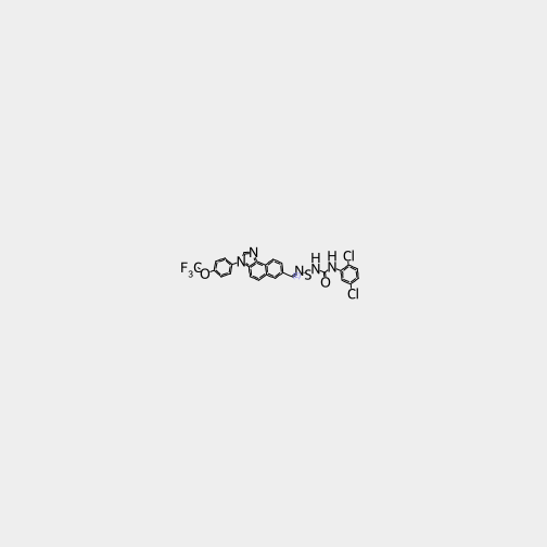 O=C(NS/N=C/c1ccc2c(ccc3c2ncn3-c2ccc(OC(F)(F)F)cc2)c1)Nc1cc(Cl)ccc1Cl